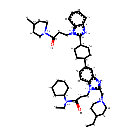 CCC1CCN(Cc2nc3cc(C4CCC(c5nc6ccccc6n5CCC(=O)N5CCC(C)CC5)CC4)ccc3n2CCC(=O)N(CC)C2CCCCC2)CC1